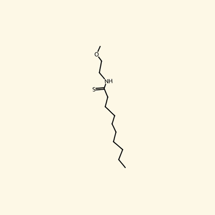 CCCCCCCCCC(=S)NCCOC